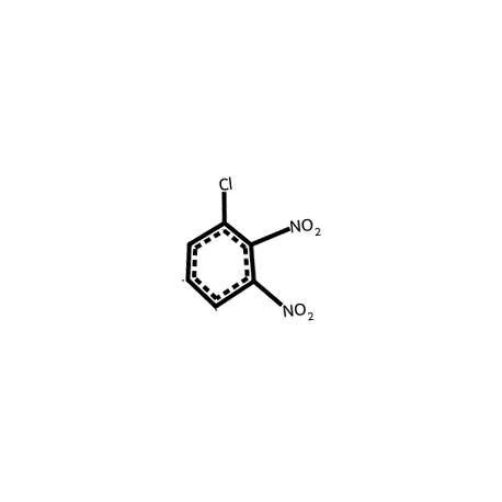 O=[N+]([O-])c1[c][c]cc(Cl)c1[N+](=O)[O-]